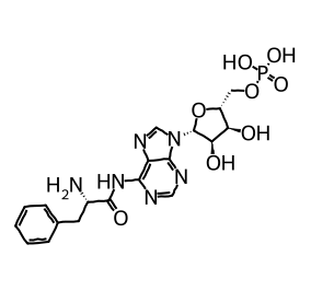 N[C@@H](Cc1ccccc1)C(=O)Nc1ncnc2c1ncn2[C@@H]1O[C@H](COP(=O)(O)O)[C@@H](O)[C@H]1O